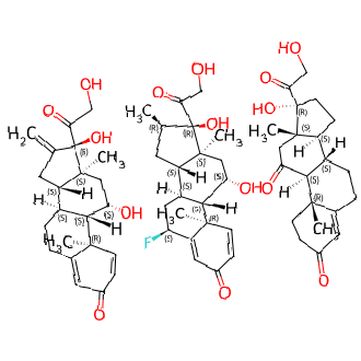 C=C1C[C@H]2[C@@H]3CCC4=CC(=O)C=C[C@]4(C)[C@H]3[C@@H](O)C[C@]2(C)[C@@]1(O)C(=O)CO.C[C@@H]1C[C@H]2[C@@H]3C[C@H](F)C4=CC(=O)C=C[C@]4(C)[C@H]3[C@@H](O)C[C@]2(C)[C@@]1(O)C(=O)CO.C[C@]12CCC(=O)C=C1CC[C@@H]1[C@@H]2C(=O)C[C@@]2(C)[C@H]1CC[C@]2(O)C(=O)CO